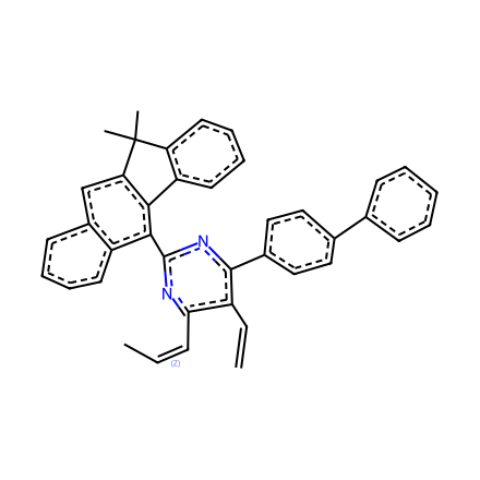 C=Cc1c(/C=C\C)nc(-c2c3c(cc4ccccc24)C(C)(C)c2ccccc2-3)nc1-c1ccc(-c2ccccc2)cc1